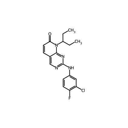 CCC(CC)n1c(=O)ccc2cnc(Nc3ccc(F)c(Cl)c3)nc21